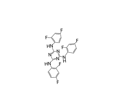 Fc1ccc(Nc2nc(Nc3ccc(F)cc3F)nc(Nc3ccc(F)cc3F)n2)c(F)c1